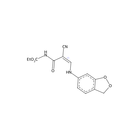 CCOC(=O)NC(=O)/C(C#N)=C\Nc1ccc2c(c1)OOC2